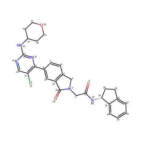 O=C(CN1Cc2ccc(-c3nc(NC4CCOCC4)ncc3Cl)cc2C1=O)N[C@@H]1CCc2ccccc21